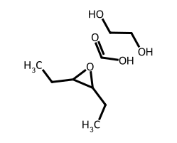 CCC1OC1CC.O=CO.OCCO